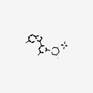 Cc1cc(-c2cnc3ccc(Cl)cn23)nc(N2C[C@H](C)C[C@H](N=S(C)(C)=O)C2)n1